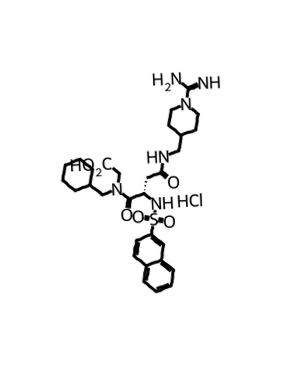 Cl.N=C(N)N1CCC(CNC(=O)C[C@H](NS(=O)(=O)c2ccc3ccccc3c2)C(=O)N(CC(=O)O)CC2CCCCC2)CC1